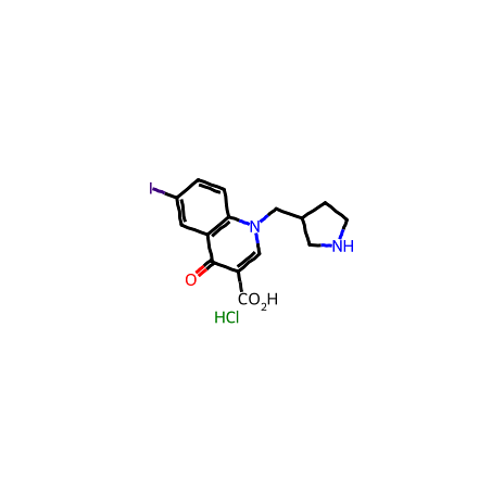 Cl.O=C(O)c1cn(CC2CCNC2)c2ccc(I)cc2c1=O